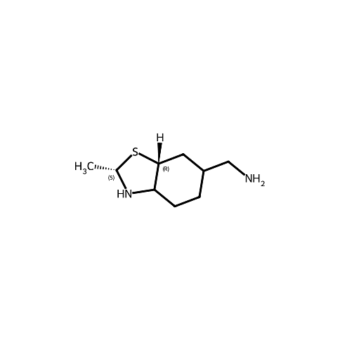 C[C@H]1NC2CCC(CN)C[C@H]2S1